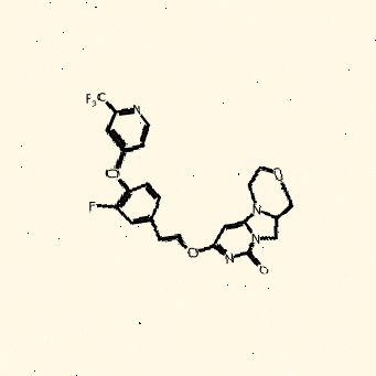 O=c1nc(OCCc2ccc(Oc3ccnc(C(F)(F)F)c3)c(F)c2)cc2n1CC1COCCN21